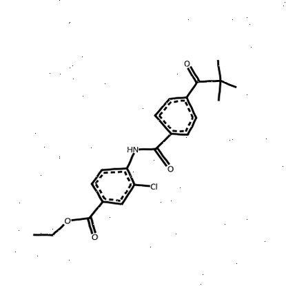 CCOC(=O)c1ccc(NC(=O)c2ccc(C(=O)C(C)(C)C)cc2)c(Cl)c1